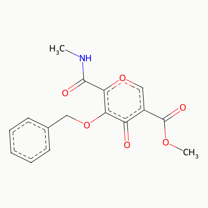 CNC(=O)c1occ(C(=O)OC)c(=O)c1OCc1ccccc1